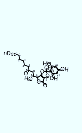 CCCCCCCCCCCCCCCC(=O)CC(O)C1OC(=O)C2=C1OC(C)(c1c(O)cc(O)cc1O)O2